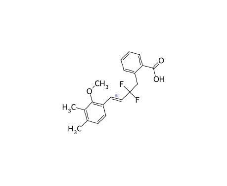 COc1c(/C=C/C(F)(F)Cc2ccccc2C(=O)O)ccc(C)c1C